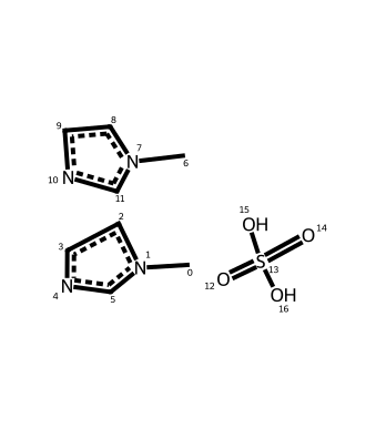 Cn1ccnc1.Cn1ccnc1.O=S(=O)(O)O